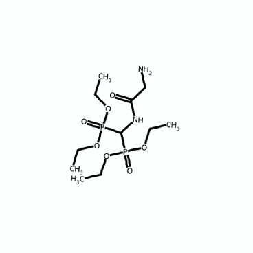 CCOP(=O)(OCC)C(NC(=O)CN)P(=O)(OCC)OCC